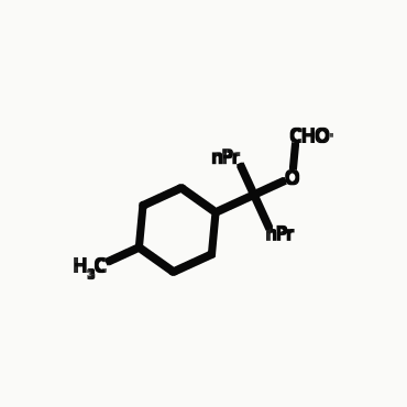 CCCC(CCC)(O[C]=O)C1CCC(C)CC1